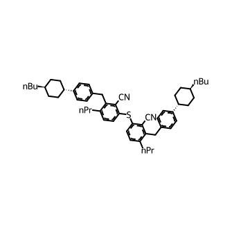 CCCC[C@H]1CC[C@H](c2ccc(Cc3c(CCC)ccc(Sc4ccc(CCC)c(Cc5ccc([C@H]6CC[C@H](CCCC)CC6)cc5)c4C#N)c3C#N)cc2)CC1